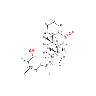 CC(CO)[C@H](C)CC[C@@H](C)[C@H]1CC[C@H]2[C@@H]3CC(=O)C4CCCC[C@]4(C)[C@H]3CC[C@]12C